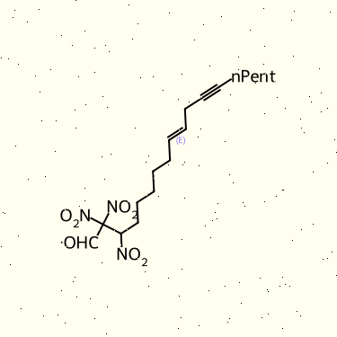 CCCCCC#CC/C=C/CCCCCC([N+](=O)[O-])C([C]=O)([N+](=O)[O-])[N+](=O)[O-]